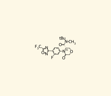 CN(C(=O)[C@@H]1COCC(=O)N1c1ccc(-c2noc(C(F)(F)F)n2)c(F)c1)C(C)(C)C